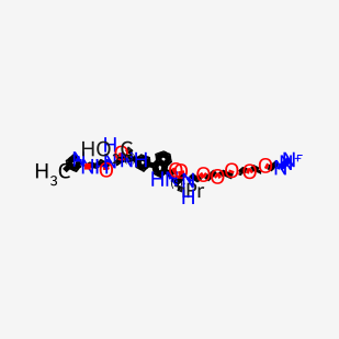 Cc1ccnc(NCCCC(=O)NCC(=O)N[C@@H](CC(=O)O)c2ccc(-c3ccc(C(=O)N[C@@H](CC(C)C)C(=O)NCCOCCOCCOCCOCCOCCN=[N+]=[N-])c4ccccc34)cc2)c1